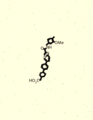 COc1cc(CNC(=O)c2cn3cc(-c4ccc(C5CCC(CC(=O)O)CC5)cc4)ccc3n2)ccc1C